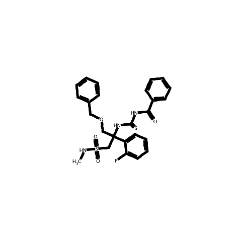 CNS(=O)(=O)CC(COCc1ccccc1)(NC(=S)NC(=O)c1ccccc1)c1ccccc1F